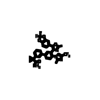 Cc1nc(-c2cc(-c3cccc(C4(C(N)=O)CC4)c3)ccc2-n2cc(C(F)(F)F)nc2C)c(-c2ccc3c(c2)OC(F)(F)O3)o1